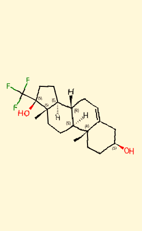 C[C@]12CC[C@H](O)CC1=CC[C@@H]1[C@@H]2CC[C@@]2(C)[C@H]1CC[C@@]2(O)C(F)(F)F